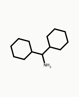 N[C](C1CCCCC1)C1CCCCC1